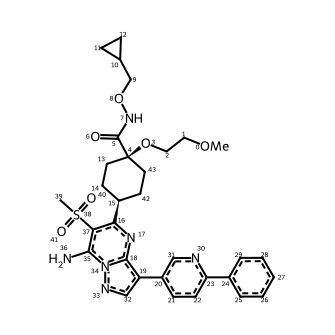 COCCO[C@]1(C(=O)NOCC2CC2)CC[C@H](c2nc3c(-c4ccc(-c5ccccc5)nc4)cnn3c(N)c2S(C)(=O)=O)CC1